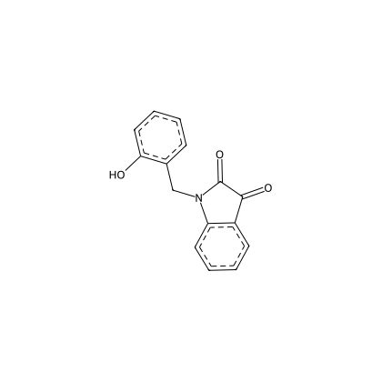 O=C1C(=O)N(Cc2ccccc2O)c2ccccc21